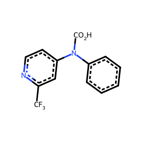 O=C(O)N(c1ccccc1)c1ccnc(C(F)(F)F)c1